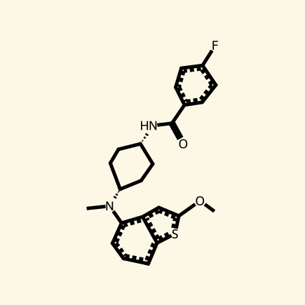 COc1cc2c(N(C)[C@H]3CC[C@@H](NC(=O)c4ccc(F)cc4)CC3)cccc2s1